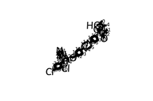 CC(O)C(C)N1C(=O)N(c2ccc(N3CCN(c4ccc(OC[C@@H]5CO[C@@](Cn6cncn6)(c6ccc(Cl)cc6Cl)O5)cc4)CC3)cc2)C(=O)C1(C)C